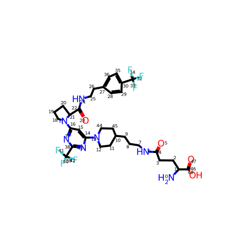 NC(CCC(=O)NCCCC1CCN(c2cc(N3CCCC3C(=O)NCCc3ccc(C(F)(F)F)cc3)nc(C(F)(F)F)n2)CC1)C(=O)O